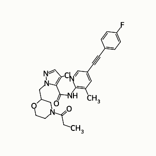 CCC(=O)N1CCOC(Cn2ncc(Cl)c2C(=O)Nc2ncc(C#Cc3ccc(F)cc3)cc2C)C1